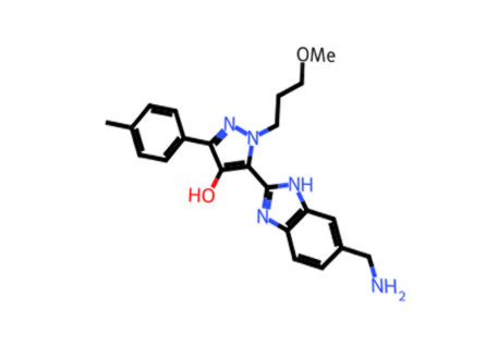 COCCCn1nc(-c2ccc(C)cc2)c(O)c1-c1nc2ccc(CN)cc2[nH]1